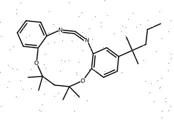 CCCC(C)(C)c1ccc2c(c1)N=C=Nc1ccccc1OC(C)(C)CC(C)(C)O2